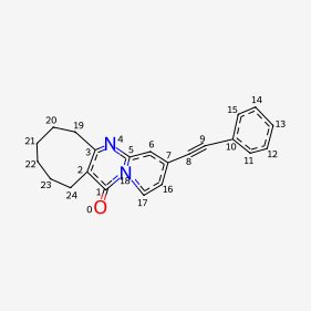 O=c1c2c(nc3cc(C#Cc4ccccc4)ccn13)CCCCCC2